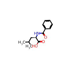 CC(C)C[C@@H](NC(=O)c1ccccc1)C(=O)O